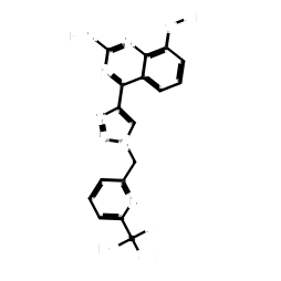 COc1cccc2c(-c3cn(Cc4cccc(C(C)(C)C)n4)nn3)nc(N)nc12